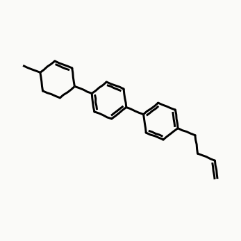 C=CCCc1ccc(-c2ccc(C3C=CC(C)CC3)cc2)cc1